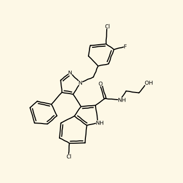 O=C(NCCO)c1[nH]c2cc(Cl)ccc2c1-c1c(-c2ccccc2)cnn1CC1C=C(F)C(Cl)=CC1